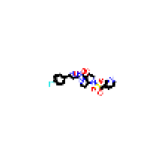 NC(=O)C12C(=O)CN(S(=O)(=O)C(=O)c3cccnc3)C1CCN2C(=O)[CH]Cc1ccc(F)cc1